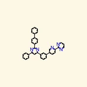 c1ccc(-c2ccc(-c3nc(-c4ccccc4)cc(-c4cccc(-c5ccc(-c6ncccn6)nc5)c4)n3)cc2)cc1